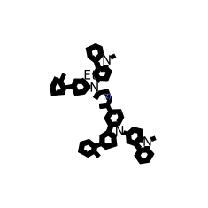 C=C(/C=C\C(=C)N(c1ccc2c(c1)c1ccccc1n2C)c1ccc(-c2ccccc2C)cc1CC)c1ccc2c(c1)c1cc(-c3ccccc3C)ccc1n2-c1ccc2c(c1)c1ccccc1n2C